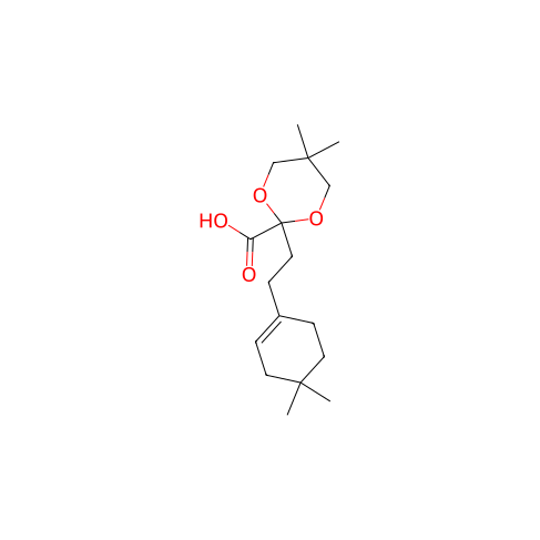 CC1(C)CC=C(CCC2(C(=O)O)OCC(C)(C)CO2)CC1